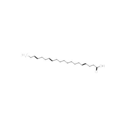 CC/C=C/CC/C=C/CCCCCCC/C=C/CCC(=O)O